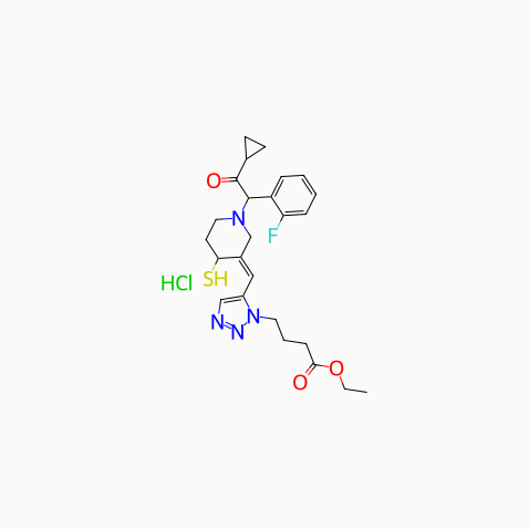 CCOC(=O)CCCn1nncc1C=C1CN(C(C(=O)C2CC2)c2ccccc2F)CCC1S.Cl